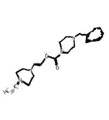 CN1CCN(CCOC(=O)N2CCN(Cc3ccccc3)CC2)CC1